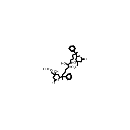 CC(CCCCC(O)CCCCC(C)(c1ccccc1)C1CC(O)(CC(=O)O)CC(=O)O1)(c1ccccc1)C1CC(O)(COC=O)CC(=O)O1